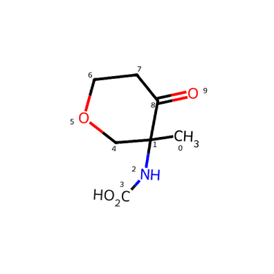 CC1(NC(=O)O)COCCC1=O